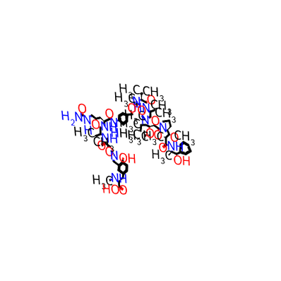 CC[C@H](C)[C@@H]([C@@H](CC(=O)N1CCC[C@H]1[C@H](OC)[C@@H](C)C(=O)N[C@H](C)[C@@H](O)c1ccccc1)OC)N(C)C(=O)[C@@H](NC(=O)[C@H](C(C)C)N(C)C(=O)OCc1ccc(NC(=O)[C@H](CCCNC(N)=O)NC(=O)[C@@H](NC(=O)CO/N=C/c2cc(C[C@H](NC)C(=O)O)ccc2O)C(C)C)cc1)C(C)C